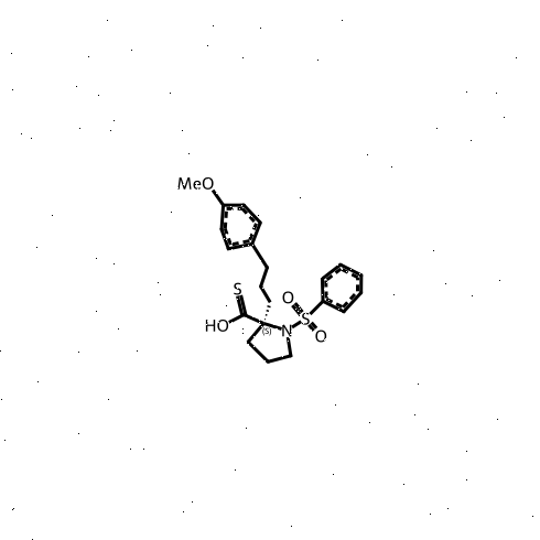 COc1ccc(CCC[C@@]2(C(O)=S)CCCN2S(=O)(=O)c2ccccc2)cc1